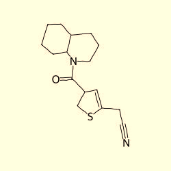 N#CCC1=CC(C(=O)N2CCCC3CCCCC32)CS1